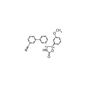 COc1cccc([C@H]2OC(=O)N[C@@H]2c2cccc(-c3cccc(C#N)c3)c2)c1